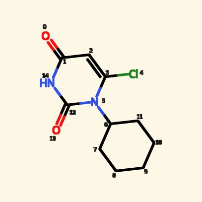 O=c1cc(Cl)n(C2CCCCC2)c(=O)[nH]1